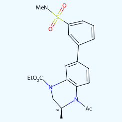 CCOC(=O)N1C[C@H](C)N(C(C)=O)c2ccc(-c3cccc(S(=O)(=O)NC)c3)cc21